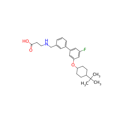 CC(C)(C)C1CCC(Oc2cc(F)cc(-c3cccc(CNCCC(=O)O)c3)c2)CC1